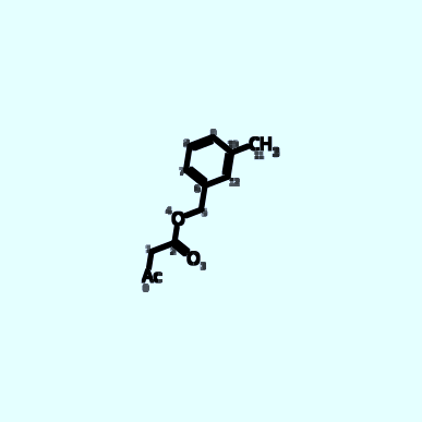 CC(=O)CC(=O)OCc1cccc(C)c1